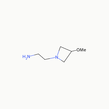 COC1CN(CCN)C1